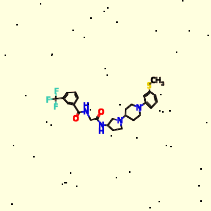 CSc1cccc(N2CCC(N3CCC(NC(=O)CNC(=O)c4cccc(C(F)(F)F)c4)C3)CC2)c1